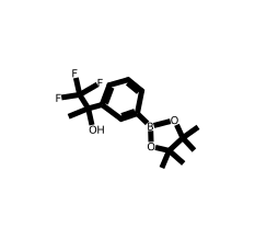 CC1(C)OB(c2cccc(C(C)(O)C(F)(F)F)c2)OC1(C)C